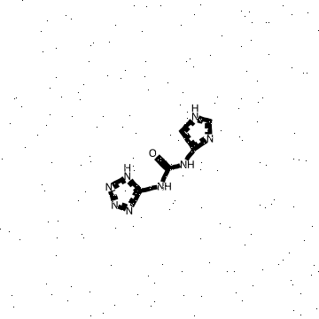 O=C(Nc1c[nH]cn1)Nc1nnn[nH]1